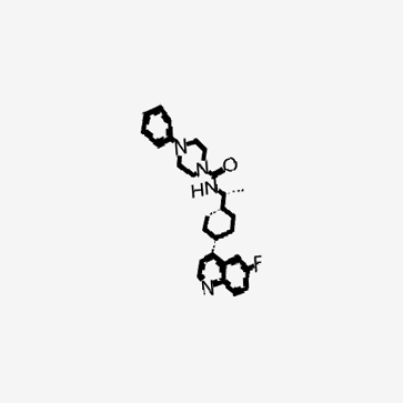 C[C@@H](NC(=O)N1CCN(c2ccccc2)CC1)[C@H]1CC[C@@H](c2ccnc3ccc(F)cc32)CC1